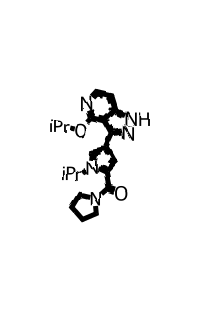 CC(C)Oc1nccc2[nH]nc(-c3cc(C(=O)N4CCCC4)n(C(C)C)c3)c12